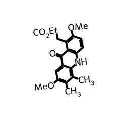 CCOC(=O)Cc1c(OC)ccc2[nH]c3c(C)c(C)c(OC)cc3c(=O)c12